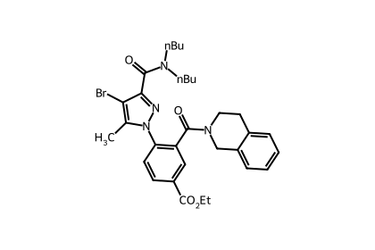 CCCCN(CCCC)C(=O)c1nn(-c2ccc(C(=O)OCC)cc2C(=O)N2CCc3ccccc3C2)c(C)c1Br